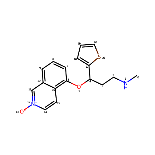 CNCCC(Oc1cccc2c[n+]([O-])ccc12)c1cccs1